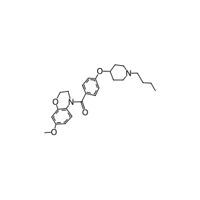 CCCCN1CCC(Oc2ccc(C(=O)N3CCOc4cc(OC)ccc43)cc2)CC1